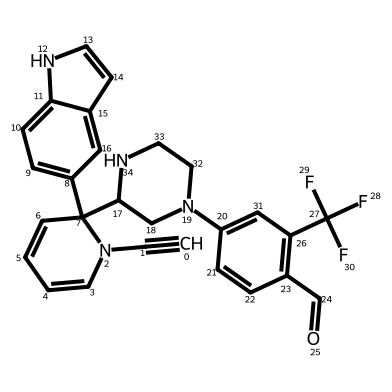 C#CN1C=CC=CC1(c1ccc2[nH]ccc2c1)C1CN(c2ccc(C=O)c(C(F)(F)F)c2)CCN1